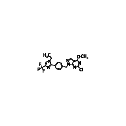 CCn1cc(C(F)(F)F)nc1-c1ccc(Cn2ncc3c(OC)nc(Cl)nc32)cc1